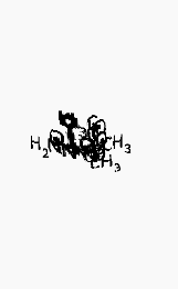 CC(=O)OC[C@H]1O[C@@H](n2cnc(C(N)=O)c2C#Cc2ccccc2)[C@H](OC(C)=O)[C@@H]1OC(C)=O